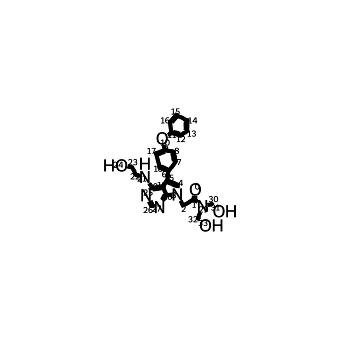 O=C(Cn1cc(-c2ccc(Oc3ccccc3)cc2)c2c(NCCO)ncnc21)N(CO)CO